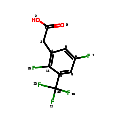 O=C(O)Cc1cc(F)cc(C(F)(F)F)c1F